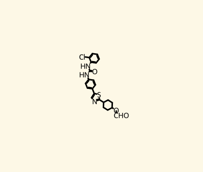 O=COC1CCC(c2ncc(-c3ccc(NC(=O)Nc4ccccc4Cl)cc3)s2)CC1